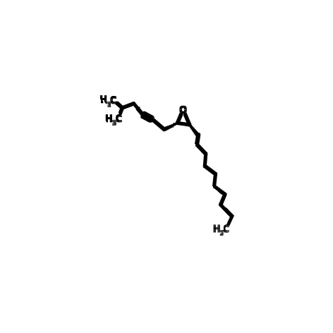 CCCCCCCCCC[C@@H]1O[C@@H]1CC#CCC(C)C